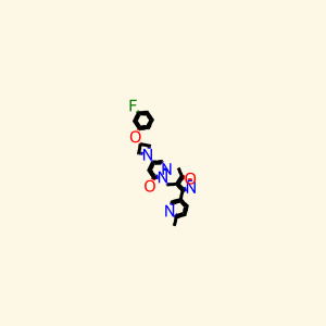 Cc1ccc(-c2noc(C)c2Cn2ncc(N3CC(Oc4cccc(F)c4)C3)cc2=O)cn1